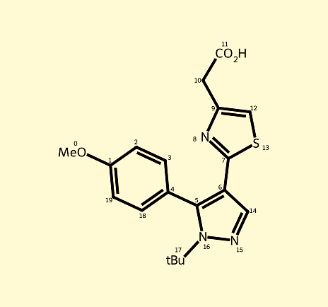 COc1ccc(-c2c(-c3nc(CC(=O)O)cs3)cnn2C(C)(C)C)cc1